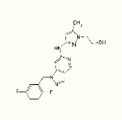 Cc1cc(Nc2cc3c(cn2)cnn3Cc2cc(F)ccc2F)nn1CCO